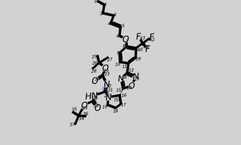 CCCCC=CCOc1ccc(-c2noc([C@@H]3CCCN3/C(=N/C(=O)OC(C)(C)C)NC(=O)OC(C)(C)C)n2)cc1C(F)(F)F